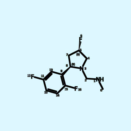 CNCN1C[C@@H](F)C[C@@H]1c1cc(F)ccc1F